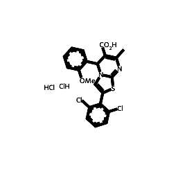 COc1ccccc1C1C(C(=O)O)=C(C)N=C2SC(c3c(Cl)cccc3Cl)=CN21.Cl.Cl